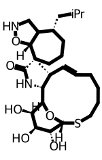 CC(C)C[C@@H]1CCC[C@H](C(=O)N[C@H]2[C@H]3O[C@H](SCCCC/C=C/[C@H]2C)[C@H](O)[C@@H](O)[C@H]3O)[C@@H]2ONCC12